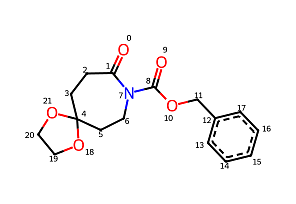 O=C1CCC2(CCN1C(=O)OCc1ccccc1)OCCO2